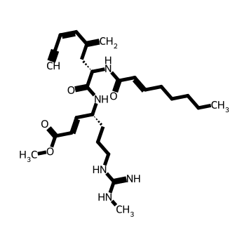 C#C/C=C\C(=C)C[C@H](NC(=O)/C=C/CCCCC)C(=O)N[C@@H](/C=C/C(=O)OC)CCCNC(=N)NC